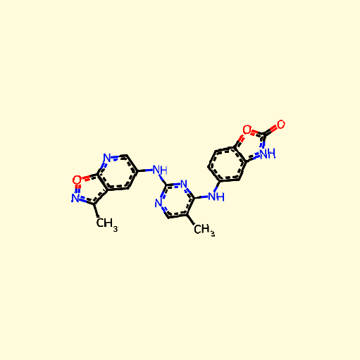 Cc1cnc(Nc2cnc3onc(C)c3c2)nc1Nc1ccc2oc(=O)[nH]c2c1